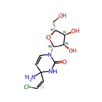 NC1(/C=C\Cl)C=CN([C@@H]2O[C@H](CO)[C@@H](O)[C@H]2O)C(=O)N1